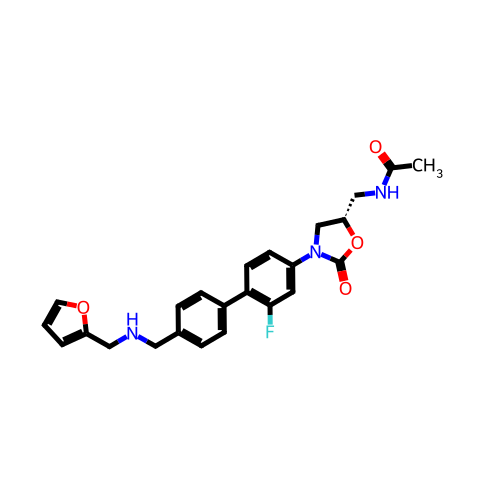 CC(=O)NC[C@H]1CN(c2ccc(-c3ccc(CNCc4ccco4)cc3)c(F)c2)C(=O)O1